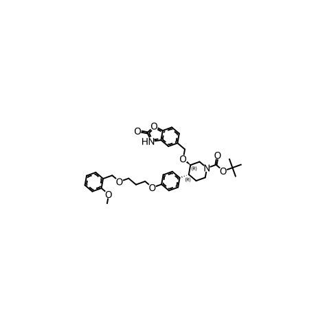 COc1ccccc1COCCCOc1ccc([C@H]2CCN(C(=O)OC(C)(C)C)C[C@@H]2OCc2ccc3oc(=O)[nH]c3c2)cc1